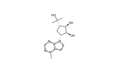 Cc1ncnc2c1ccn2[C@@H]1C[C@H](C(C)(C)O)[C@@H](O)[C@H]1O